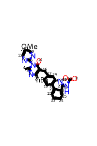 CCCCc1nc(C)n(-c2ncc(OC)cn2)c(=O)c1Cc1ccc(-c2ccccc2-c2noc(=O)[nH]2)cc1